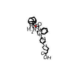 NC(=O)C12CC3CC(C1)C(NC(=O)N1CCN(c4ccc(N5CCC(CC(=O)O)CC5)cn4)c4ccccc41)C(C3)C2